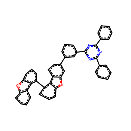 c1ccc(-c2nc(-c3ccccc3)nc(-c3cccc(-c4ccc5c(c4)oc4cccc(-c6cccc7oc8ccccc8c67)c45)c3)n2)cc1